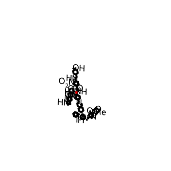 COc1cc(CN2CCN(c3ccccc3C(C)C)[C@H](C3CCC4(CC3)CCN(c3ccc(C(=O)NS(=O)(=O)c5ccc(NCC6CCC(C)(O)CC6)c([N+](=O)[O-])c5)c(N5c6cc7cc[nH]c7nc6O[C@H]6COCC[C@@H]65)c3)CC4)C2)cnc1N1CCOCC1